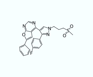 CS(=O)(=O)CCCn1cc(-c2ncnc3oc(-c4ccccc4)cc23)c(-c2ccc(F)cc2)n1